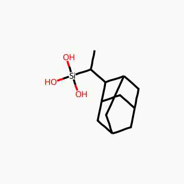 CC(C1C2CC3CC(C2)CC1C3)[Si](O)(O)O